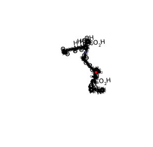 Cc1c(-c2ccc(N3CCc4cccc(C(=O)Nc5nc6ccccc6s5)c4C3)nc2C(=O)O)cnn1CC12CC3(C)CC(C)(C1)CC(OCCOCCOCCN(C)C(=O)OC/C=C/c1ccc(O[C@@H]4O[C@H](C(=O)O)C[C@H](O)[C@H]4O)c(NC(=O)CCNC(=O)CCCCCN4C(=O)C=CC4=O)c1)(C3)C2